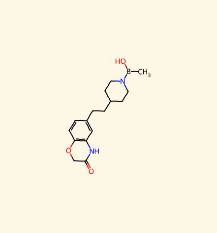 CB(O)N1CCC(CCc2ccc3c(c2)NC(=O)CO3)CC1